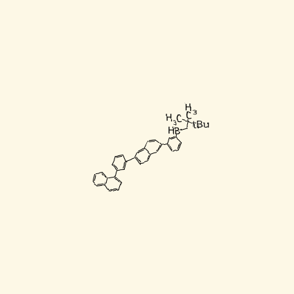 CC(C)(C)C(C)(C)CBc1cccc(-c2ccc3cc(-c4cccc(-c5cccc6ccccc56)c4)ccc3c2)c1